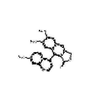 COc1ccc2c(-c3c4c(cc5cc(OC)c(OC)cc35)COC4=O)ccnc2c1